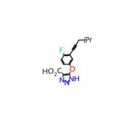 CC(C)CC#Cc1cc(Oc2[nH]nnc2C(=O)O)ccc1F